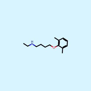 CCNCCCCOc1c(C)cccc1C